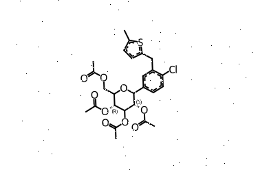 CC(=O)OCC1OC(c2ccc(Cl)c(Cc3ccc(C)s3)c2)[C@H](OC(C)=O)C(OC(C)=O)[C@@H]1OC(C)=O